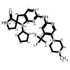 CN1CCN(c2cnc(Nc3ncc4c(n3)N(C3CCCC3)C3(CCNC3=O)C4)cc2C(F)(F)F)CC1